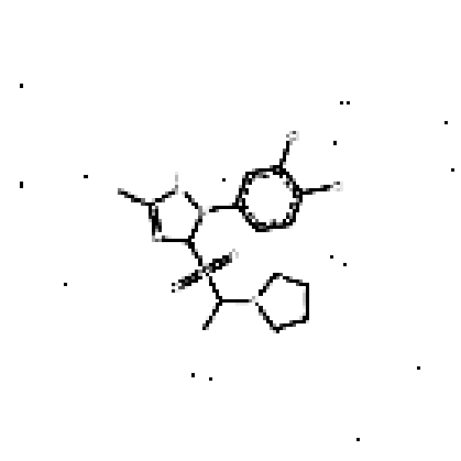 CC1=NC(S(=O)(=O)C(C)N2CCCC2)N(c2ccc(Cl)c(Cl)c2)N1